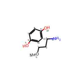 COCCCN.Oc1ccc(O)cc1